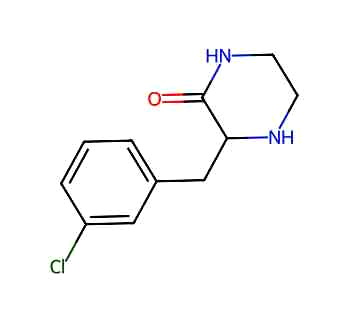 O=C1NCCNC1Cc1cccc(Cl)c1